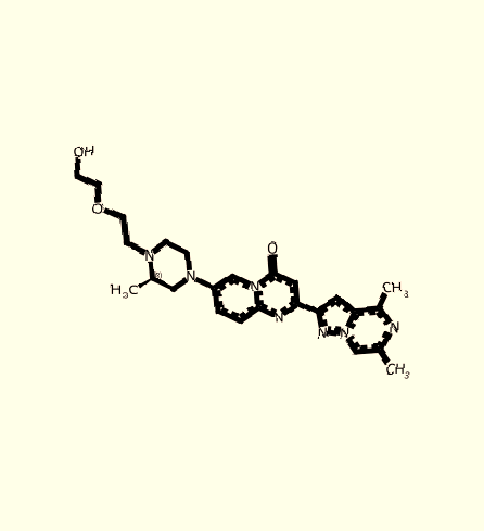 Cc1cn2nc(-c3cc(=O)n4cc(N5CCN(CCOCCO)[C@H](C)C5)ccc4n3)cc2c(C)n1